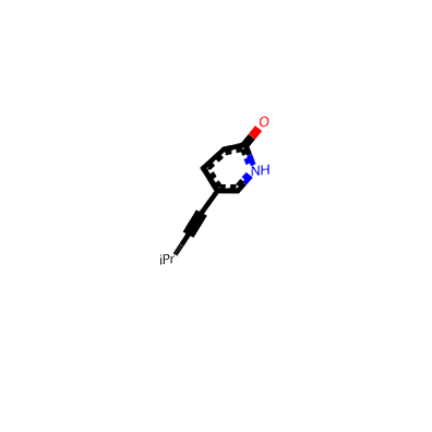 CC(C)C#Cc1ccc(=O)[nH]c1